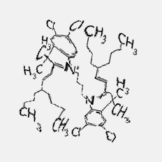 CCCCC(C=CC1=[N+](CCCC[N+]2=C(C=CC(CCCC)CCCC)C(C)(C)c3cc(Cl)c(Cl)cc32)c2cc(Cl)c(Cl)cc2C1(C)C)CCCC